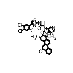 CC1C=c2c(ccc3c2=CC(=O)c2ccccc2-3)C(C)(N2CN(CC(=O)Nc3nc(-c4cc(Cl)c(Cl)cc4Cl)cs3)c3cncnc32)C1=O